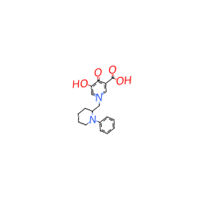 O=C(O)c1cn(CC2CCCCN2c2ccccc2)cc(O)c1=O